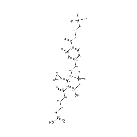 C=C(CCCC(C)(F)F)c1ccc(CCC2C(=C3CC3)C(C(=O)CCCCC(=O)O)=C(O)CC2(C)C)cc1C